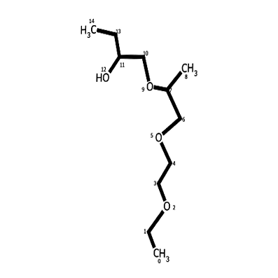 CCOCCOCC(C)OCC(O)CC